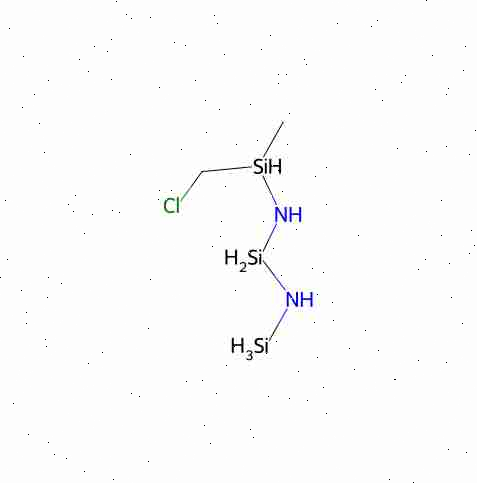 C[SiH](CCl)N[SiH2]N[SiH3]